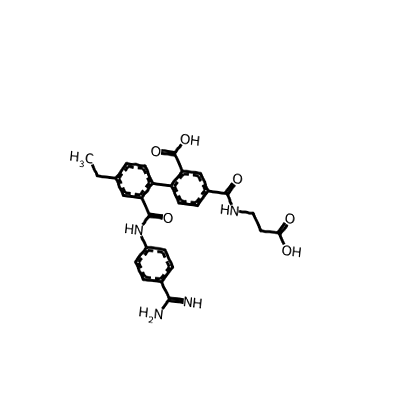 CCc1ccc(-c2ccc(C(=O)NCCC(=O)O)cc2C(=O)O)c(C(=O)Nc2ccc(C(=N)N)cc2)c1